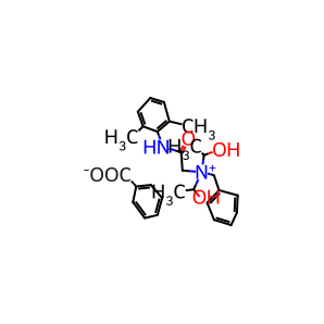 Cc1cccc(C)c1NC(=O)C[N+](Cc1ccccc1)(C(C)O)C(C)O.O=C([O-])c1ccccc1